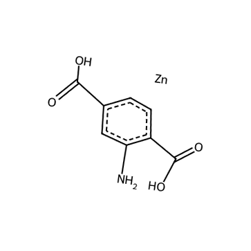 Nc1cc(C(=O)O)ccc1C(=O)O.[Zn]